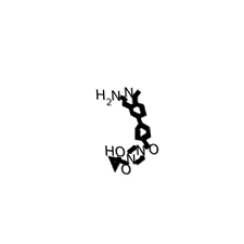 Cc1nc(N)cc2cc(-c3ccc(C(=O)N4CCN(C(=O)C5(O)CC5)CC4)cc3)ccc12